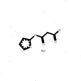 O=C([O-])CC(=O)Oc1cccs1.[Na+]